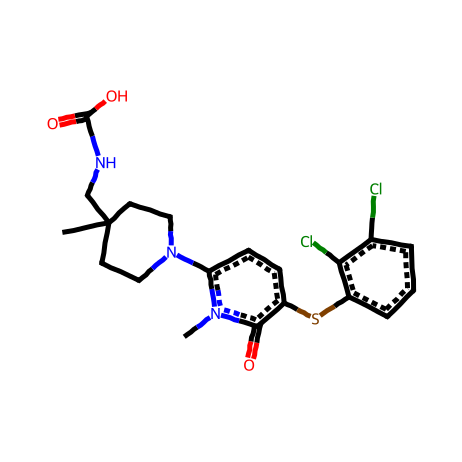 Cn1c(N2CCC(C)(CNC(=O)O)CC2)ccc(Sc2cccc(Cl)c2Cl)c1=O